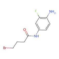 Nc1ccc(NC(=O)CCCBr)cc1F